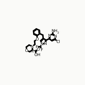 Nc1nc(Cl)cc(-c2nn(C(F)F)cc2Cc2ccccc2OCCN2CCOC[C@@H]2C(=O)O)n1